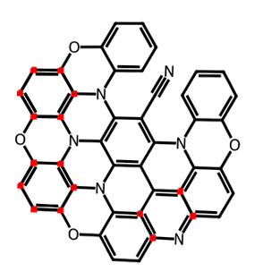 N#Cc1c(N2c3ccccc3Oc3ccccc32)c(-c2ccncc2)c(N2c3ccccc3Oc3ccccc32)c(N2c3ccccc3Oc3ccccc32)c1N1c2ccccc2Oc2ccccc21